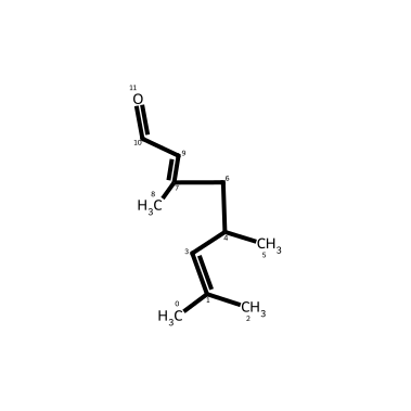 CC(C)=CC(C)C/C(C)=C/C=O